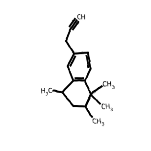 C#CCc1ccc2c(c1)C(C)CC(C)C2(C)C